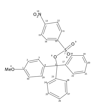 COc1ccc(C(OS(=O)(=O)c2ccc([N+](=O)[O-])cc2)(c2ccccc2)c2ccccc2)cc1